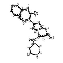 CCc1nc2ccccc2nc1-c1cc2nc(Cl)cc(NC3CCOCC3)n2n1